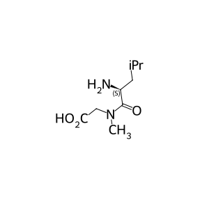 CC(C)C[C@H](N)C(=O)N(C)CC(=O)O